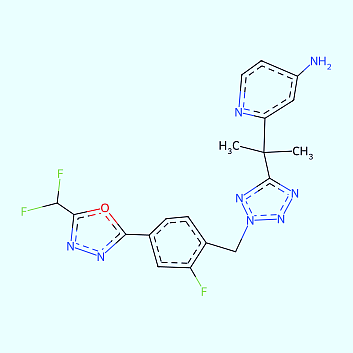 CC(C)(c1cc(N)ccn1)c1nnn(Cc2ccc(-c3nnc(C(F)F)o3)cc2F)n1